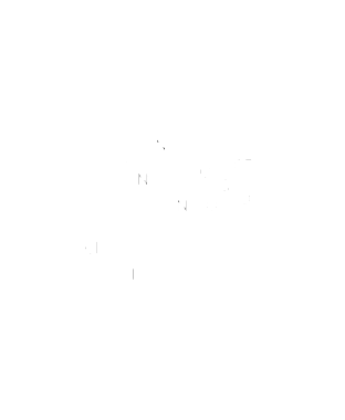 O=S(=O)(Oc1nc2cc(F)c(Cl)cc2n2ccnc12)C(F)(F)F